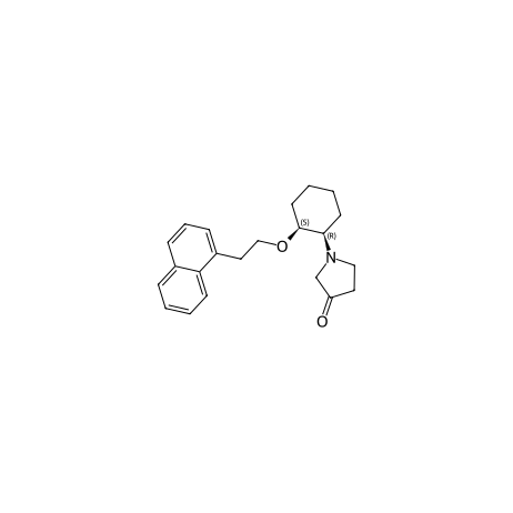 O=C1CCN([C@@H]2CCCC[C@@H]2OCCc2cccc3ccccc23)C1